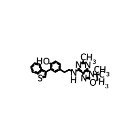 Cc1nc(NCCc2ccc(O)c(-c3csc4ccccc34)c2)c2nc3n(c2n1)C(C)(C)CO3